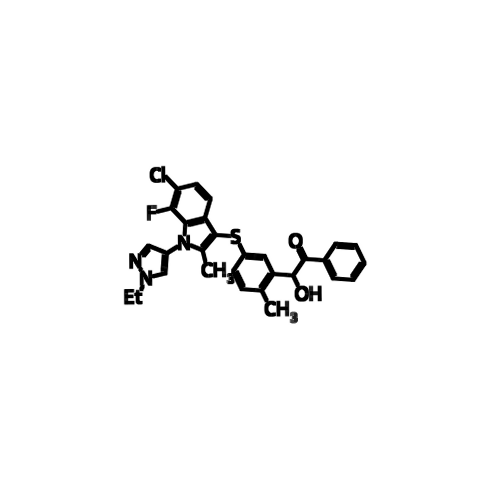 CCn1cc(-n2c(C)c(Sc3ccc(C)c(C(O)C(=O)c4ccccc4)c3)c3ccc(Cl)c(F)c32)cn1